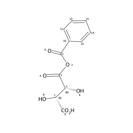 O=C(OC(=O)[C@H](O)[C@@H](O)C(=O)O)c1ccccc1